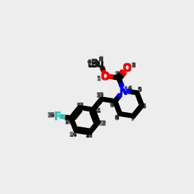 CC(C)(C)OC(=O)N1CCCCC1Cc1cccc(F)c1